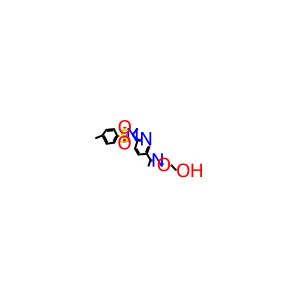 CC(=NOCCO)c1ccc(N(C)S(=O)(=O)c2ccc(C)cc2)nc1